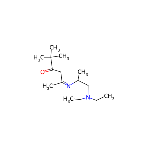 CCN(CC)CC(C)N=C(C)CC(=O)C(C)(C)C